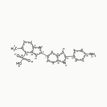 Cc1ccc2nc(-c3ccc4nc(-c5ccc(N)cc5)sc4c3)sc2c1S(=O)(=O)O